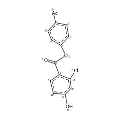 CC(=O)c1ccc(OC(=O)c2ccc(O)cc2Cl)cc1